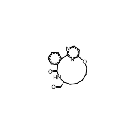 O=C[C@@H]1CCCCCOc2ccnc(n2)-c2ccccc2C(=O)N1